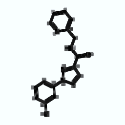 O=C(NCc1ccccn1)c1ccn(-c2cccc(Cl)c2)n1